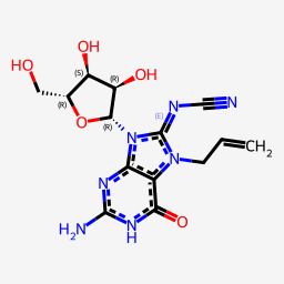 C=CCn1/c(=N\C#N)n([C@@H]2O[C@H](CO)[C@@H](O)[C@H]2O)c2nc(N)[nH]c(=O)c21